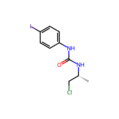 C[C@H](CCl)NC(=O)Nc1ccc(I)cc1